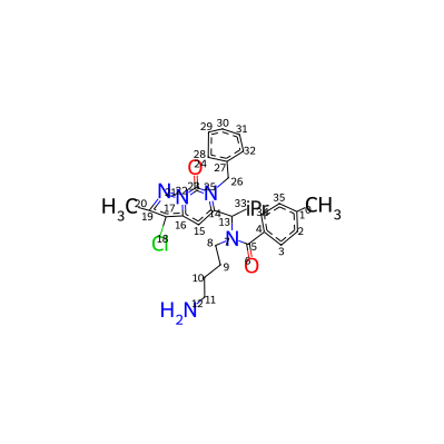 Cc1ccc(C(=O)N(CCCCN)C(c2cc3c(Cl)c(C)nn3c(=O)n2Cc2ccccc2)C(C)C)cc1